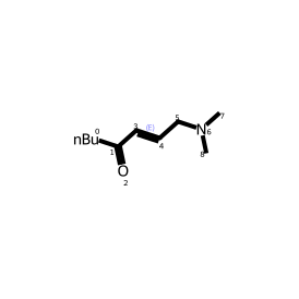 CCCCC(=O)/C=C/CN(C)C